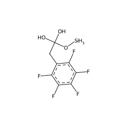 OC(O)(Cc1c(F)c(F)c(F)c(F)c1F)O[SiH3]